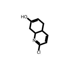 OC1=CCC2C=CC(Cl)=NC2C1